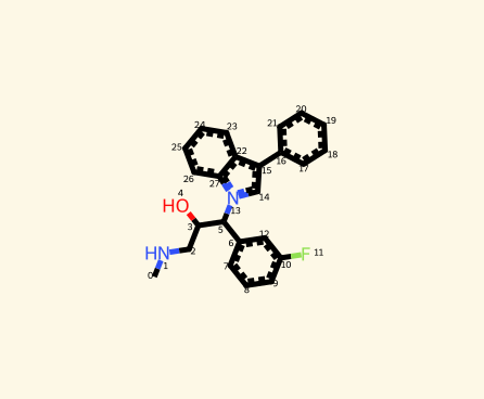 CNCC(O)C(c1cccc(F)c1)n1cc(-c2ccccc2)c2ccccc21